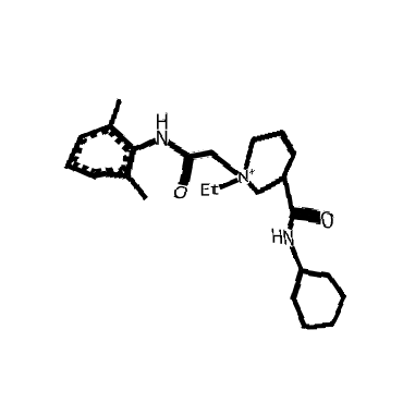 CC[N+]1(CC(=O)Nc2c(C)cccc2C)CCCC(C(=O)NC2CCCCC2)C1